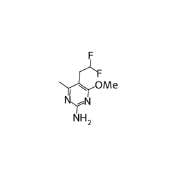 COc1nc(N)nc(C)c1CC(F)F